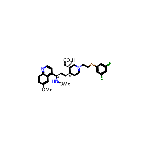 CON[C@H](CC[C@@H]1CCN(CCSc2cc(F)cc(F)c2)C[C@@H]1CC(=O)O)c1ccnc2ccc(OC)cc12